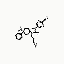 COCCCN1C(=O)N(c2cnc(C#N)nc2)C[C@]12CC[C@](c1ccccc1)(N(C)C)CC2